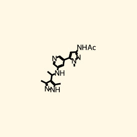 CC(=O)Nc1cc(-c2cncc(NC(C)c3c(C)n[nH]c3C)c2)n(C)n1